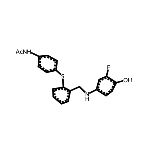 CC(=O)Nc1ccc(Sc2ccccc2CNc2ccc(O)c(F)c2)cc1